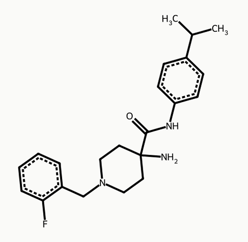 CC(C)c1ccc(NC(=O)C2(N)CCN(Cc3ccccc3F)CC2)cc1